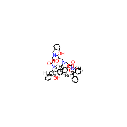 CN(CC(C)(C)[Si](O)(c1ccccc1)c1ccccc1)C(=O)CCN(Cc1ccccc1O)CC(O)CN(CCC(=O)N(C)O[Si](c1ccccc1)(c1ccccc1)C(C)(C)C)Cc1ccccc1O